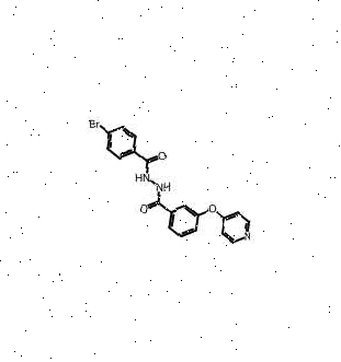 O=C(NNC(=O)c1cccc(Oc2ccncc2)c1)c1ccc(Br)cc1